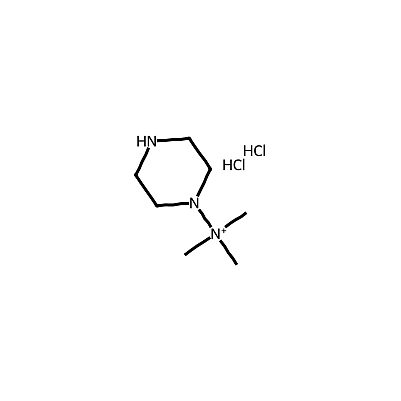 C[N+](C)(C)N1CCNCC1.Cl.Cl